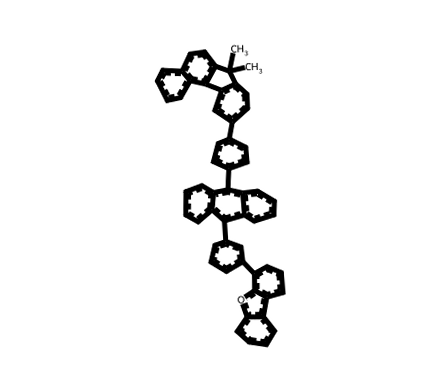 CC1(C)c2ccc(-c3ccc(-c4c5ccccc5c(-c5cccc(-c6cccc7c6oc6ccccc67)c5)c5ccccc45)cc3)cc2-c2c1ccc1ccccc21